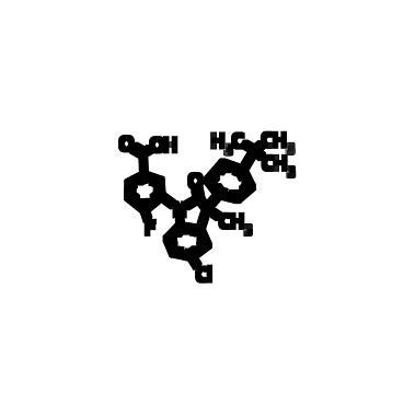 CC(C)(C)c1ccc(C2(C)C(=O)N(c3cc(C(=O)O)ccc3F)c3ccc(Cl)cc32)cc1